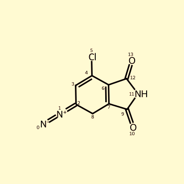 [N-]=[N+]=C1C=C(Cl)C2=C(C1)C(=O)NC2=O